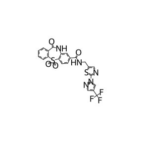 O=C(NCc1cnc(-n2cc(C(F)(F)F)cn2)s1)c1ccc2c(c1)NC(=O)c1ccccc1S2(=O)=O